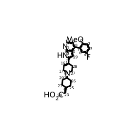 COc1ccc(F)cc1-c1ccnc2[nH]c(C3=CCN(C4CCC(=CC(=O)O)CC4)CC3)cc12